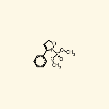 COP(=O)(OC)N1OCC=C1c1ccccc1